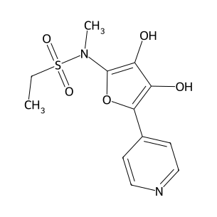 CCS(=O)(=O)N(C)c1oc(-c2ccncc2)c(O)c1O